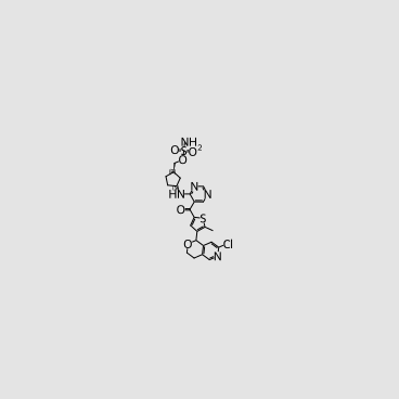 Cc1sc(C(=O)c2cncnc2N[C@H]2CC[C@@H](COS(N)(=O)=O)C2)cc1C1OCCc2cnc(Cl)cc21